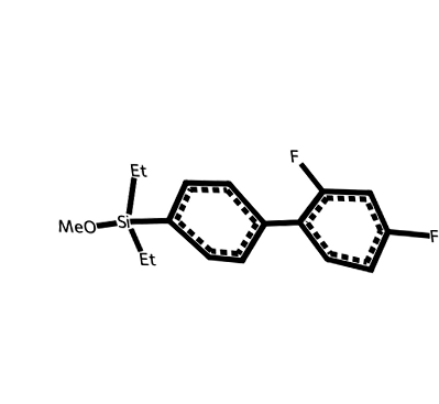 CC[Si](CC)(OC)c1ccc(-c2ccc(F)cc2F)cc1